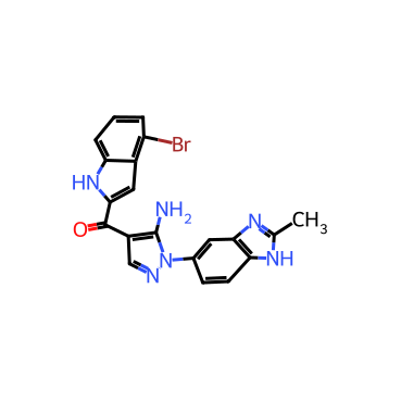 Cc1nc2cc(-n3ncc(C(=O)c4cc5c(Br)cccc5[nH]4)c3N)ccc2[nH]1